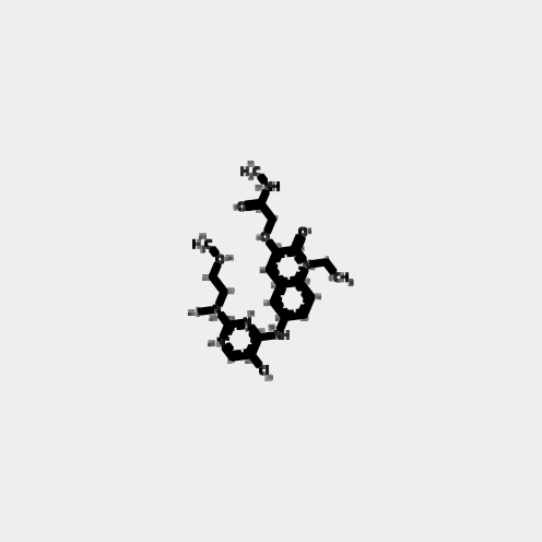 CCn1c(=O)c(OCC(=O)NC)cc2cc(Nc3nc(N(I)CCOC)ncc3Cl)ccc21